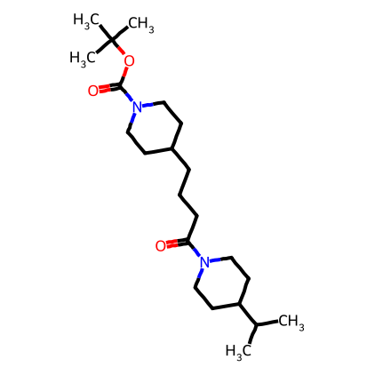 CC(C)C1CCN(C(=O)CCCC2CCN(C(=O)OC(C)(C)C)CC2)CC1